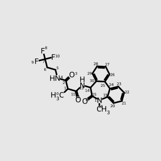 CC(C(=O)NCCC(F)(F)F)C(=O)NC1C(=O)N(C)c2ccccc2-c2ccccc21